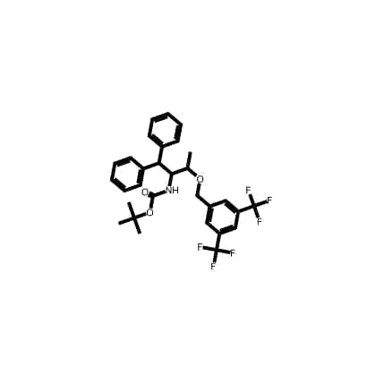 CC(OCc1cc(C(F)(F)F)cc(C(F)(F)F)c1)C(NC(=O)OC(C)(C)C)C(c1ccccc1)c1ccccc1